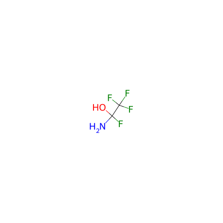 NC(O)(F)C(F)(F)F